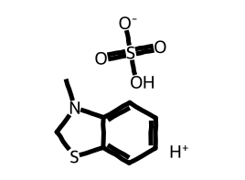 CN1CSc2ccccc21.O=S(=O)([O-])O.[H+]